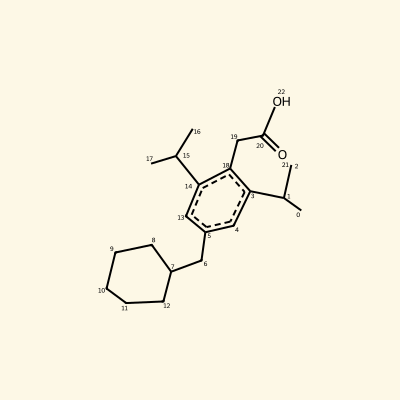 CC(C)c1cc(CC2CCCCC2)cc(C(C)C)c1CC(=O)O